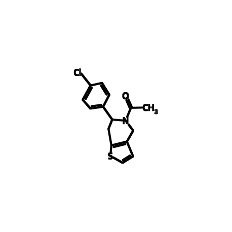 CC(=O)N1Cc2ccsc2CC1c1ccc(Cl)cc1